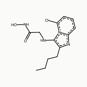 CCCCc1nc2cccc(Cl)n2c1NCC(=O)NO